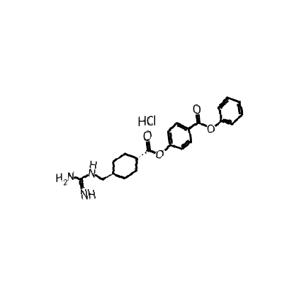 Cl.N=C(N)NC[C@H]1CC[C@H](C(=O)Oc2ccc(C(=O)Oc3ccccc3)cc2)CC1